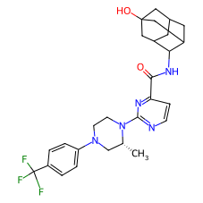 C[C@@H]1CN(c2ccc(C(F)(F)F)cc2)CCN1c1nccc(C(=O)NC2C3CC4CC2CC(O)(C4)C3)n1